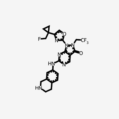 O=c1c2cnc(Nc3ccc4c(c3)CNCC4)nc2n(-c2nc(C3(CF)CC3)co2)n1CC(F)(F)F